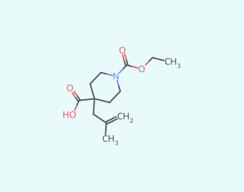 C=C(C)CC1(C(=O)O)CCN(C(=O)OCC)CC1